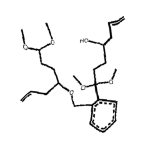 C=CCC(O)CCC(OC)(OC)c1ccccc1COC(CC=C)CCC(OC)OC